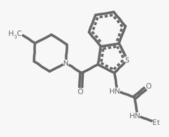 CCNC(=O)Nc1sc2ccccc2c1C(=O)N1CCC(C)CC1